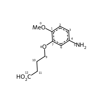 COc1ccc(N)cc1OCCCC(=O)O